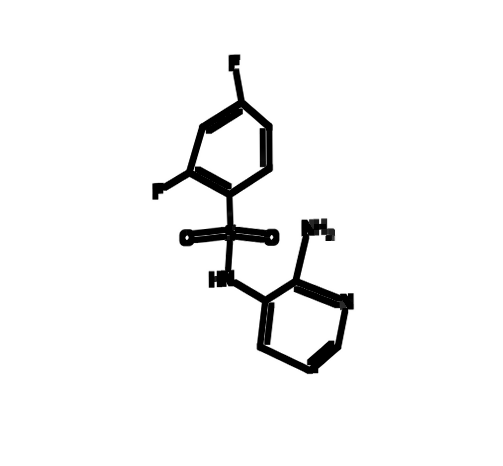 Nc1nc[c]cc1NS(=O)(=O)c1ccc(F)cc1F